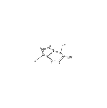 Fc1c(Br)ccc2c(I)ncn12